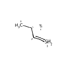 CCC=[SiH2].[Ti]